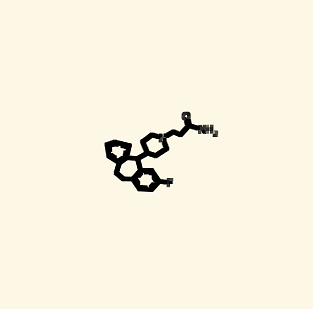 NC(=O)CCN1CCC(C2c3ccccc3CCc3ccc(F)cc32)CC1